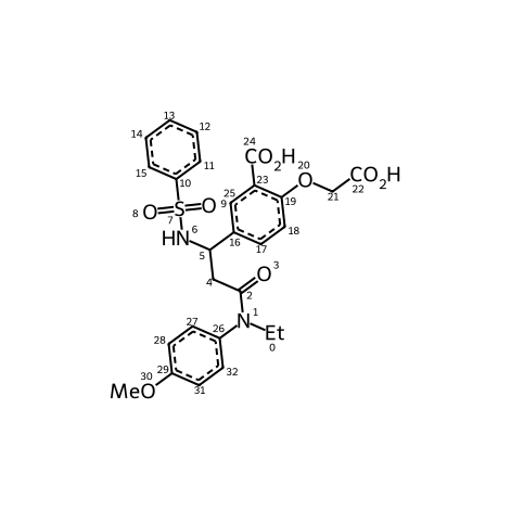 CCN(C(=O)CC(NS(=O)(=O)c1ccccc1)c1ccc(OCC(=O)O)c(C(=O)O)c1)c1ccc(OC)cc1